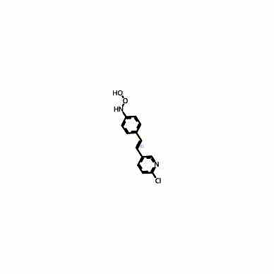 OONc1ccc(/C=C/c2ccc(Cl)nc2)cc1